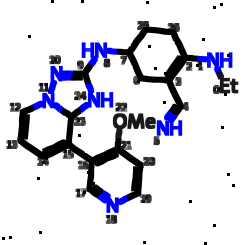 CCNC1=C(C=N)CC(NC2=NN3C=CC=C(c4cnccc4OC)C3N2)CC1